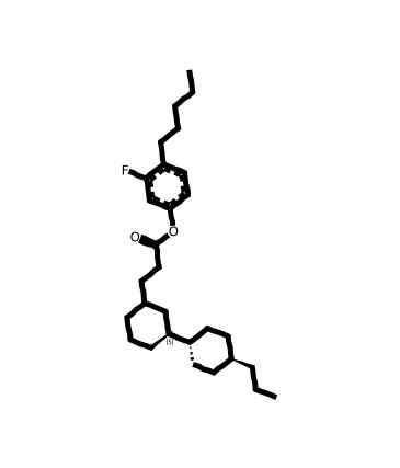 CCCCCc1ccc(OC(=O)CCC2CCC[C@H]([C@H]3CC[C@H](CCC)CC3)C2)cc1F